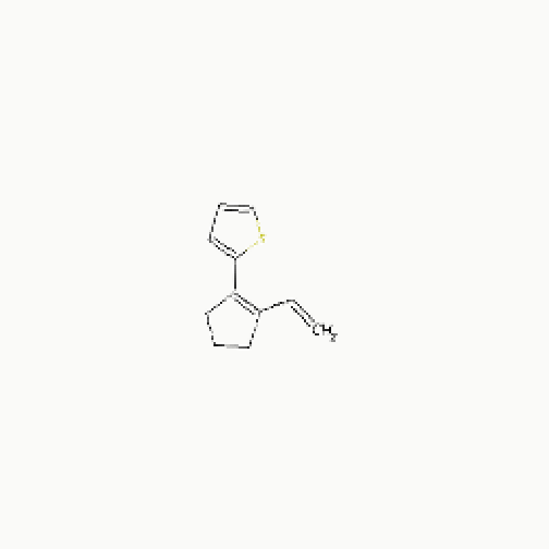 C=CC1=C(c2cccs2)CCC1